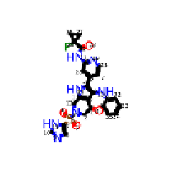 O=C1CN(S(=O)(=O)c2cnc[nH]2)Cc2[nH]c(-c3ccnc(NC(=O)C4(F)CC4)c3)c(Nc3ccccc3)c21